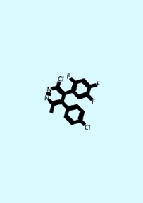 Cc1nnc(Cl)c(-c2cc(F)c(F)cc2F)c1-c1ccc(Cl)cc1